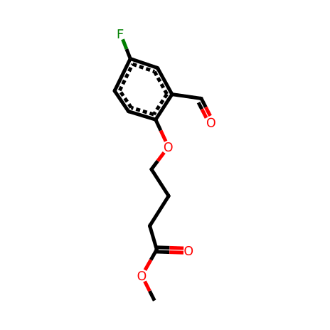 COC(=O)CCCOc1ccc(F)cc1C=O